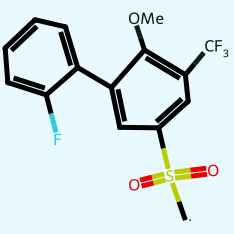 [CH2]S(=O)(=O)c1cc(-c2ccccc2F)c(OC)c(C(F)(F)F)c1